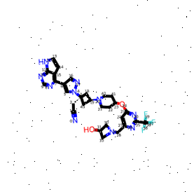 N#CC[C@]1(n2cc(-c3ncnc4[nH]ccc34)cn2)C[C@@H](N2CCC(Oc3cc(CN4CC(O)C4)nc(C(F)(F)F)n3)CC2)C1